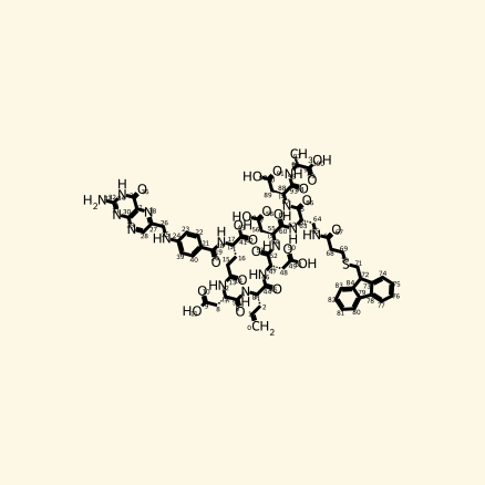 C=CC[C@H](NC(=O)[C@H](CC(=O)O)NC(=O)CC[C@H](NC(=O)c1ccc(NCc2cnc3nc(N)[nH]c(=O)c3n2)cc1)C(=O)O)C(=O)N[C@@H](CC(=O)O)C(=O)N[C@@H](CC(=O)O)C(=O)N[C@@H](CNC(=O)CCSCC1c2ccccc2-c2ccccc21)C(=O)N[C@@H](CC(=O)O)C(=O)N[C@@H](C)C(=O)O